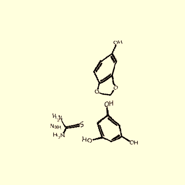 NC(N)=S.Oc1cc(O)cc(O)c1.Oc1ccc2c(c1)OCO2.[NaH]